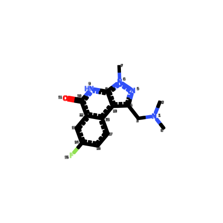 CN(C)Cc1nn(C)c2[nH]c(=O)c3cc(F)ccc3c12